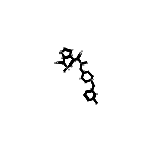 Cc1cccc(CN2CCC(CN(C)C(=O)c3cn(C)c(=O)c4[nH]ccc34)CC2)c1